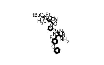 CCN(C(=O)OC(C)(C)C)C(C)(C)C=C(C#N)C(=O)N1CCC[C@H]1Cn1nc(-c2ccc(Oc3ccccc3)cc2F)c2c(N)ncnc21